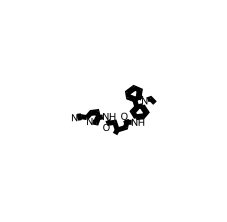 CCn1c2ccccc2c2cc(NC(=O)CC(C)CC(=O)Nc3ccc(C#N)nc3)ccc21